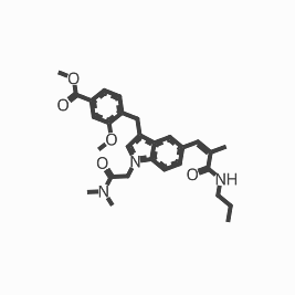 CCCNC(=O)/C(C)=C\c1ccc2c(c1)c(Cc1ccc(C(=O)OC)cc1OC)cn2CC(=O)N(C)C